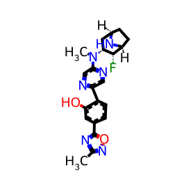 Cc1noc(-c2ccc(-c3cnc(N(C)[C@@H]4C[C@H]5CC[C@H](N5)[C@@H]4F)cn3)c(O)c2)n1